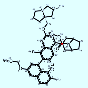 CCc1c(F)ccc2cc(OCOC)cc(-c3c(Cl)cc4c(N5CC6CCC(C5)N6C(=O)OC(C)(C)C)nc(OC[C@]56CCCN5C[C@H](F)C6)nc4c3F)c12